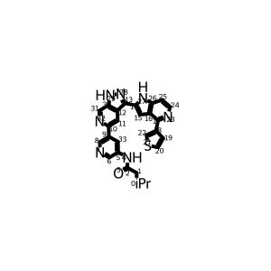 CC(C)CC(=O)Nc1cncc(-c2cc3c(-c4cc5c(-c6ccsc6)nccc5[nH]4)n[nH]c3cn2)c1